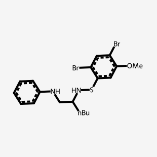 CCCCC(CNc1ccccc1)NSc1cc(OC)c(Br)cc1Br